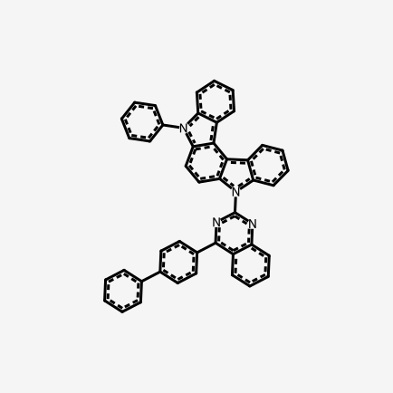 c1ccc(-c2ccc(-c3nc(-n4c5ccccc5c5c6c7ccccc7n(-c7ccccc7)c6ccc54)nc4ccccc34)cc2)cc1